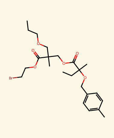 CCCOCC(C)(COC(=O)C(C)(CC)OCc1ccc(C)cc1)C(=O)OCCBr